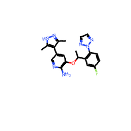 Cc1n[nH]c(C)c1-c1cnc(N)c(OC(C)c2cc(F)ccc2-n2nccn2)c1